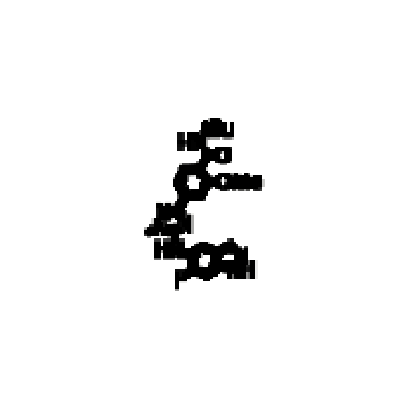 COc1cc(-c2nc(Nc3cc4cn[nH]c4cc3F)n(C)n2)ccc1C(=O)NC(C)(C)C